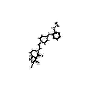 C=NOc1ccccc1CN1CCN(CCN2CCc3nn(C)c(C)c3C2=O)CC1